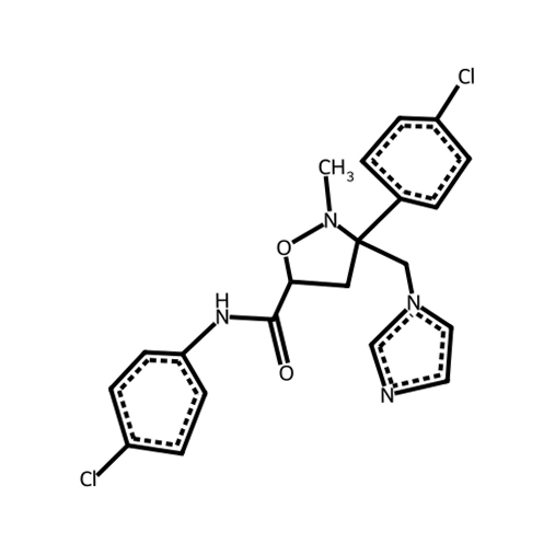 CN1OC(C(=O)Nc2ccc(Cl)cc2)CC1(Cn1ccnc1)c1ccc(Cl)cc1